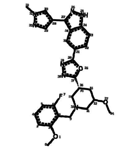 COc1cccc(F)c1CN1CC(OC)C[C@@H](c2nnc(-c3ccc4[nH]nc(-c5cnn(C)c5)c4c3)o2)C1